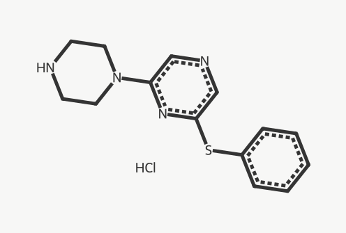 Cl.c1ccc(Sc2cncc(N3CCNCC3)n2)cc1